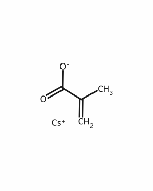 C=C(C)C(=O)[O-].[Cs+]